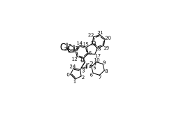 C1=CC[C]([Zr+2](=[C]2CCCCC2)[c]2cccc3c2Cc2ccccc2-3)=C1.[Cl-].[Cl-]